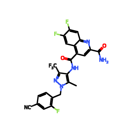 Cc1c(NC(=O)c2cc(C(N)=O)nc3cc(F)c(F)cc23)c(C(F)(F)F)nn1Cc1ccc(C#N)cc1F